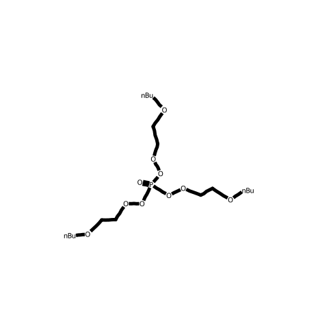 CCCCOCCOOP(=O)(OOCCOCCCC)OOCCOCCCC